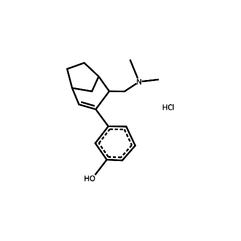 CN(C)CC1C(c2cccc(O)c2)=CC2CCC1C2.Cl